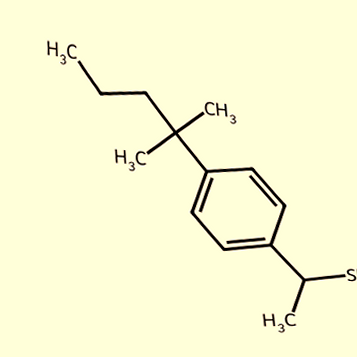 CCCC(C)(C)c1ccc(C(C)S)cc1